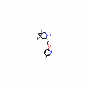 Fc1ccc(OCC[C@@H]2C[C@H]3C[C@H]3CN2)nc1